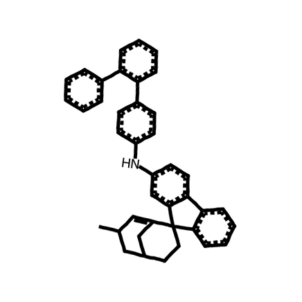 CC1C=C2CC(CCC23c2ccccc2-c2ccc(Nc4ccc(-c5ccccc5-c5ccccc5)cc4)cc23)C1